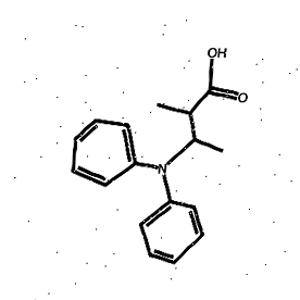 CC(C(=O)O)C(C)N(c1ccccc1)c1ccccc1